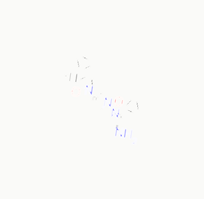 [2H]c1c(-c2ccccc2)ccn(C[C@@H]2CCN(C(=O)N3CC[C@@H](N)C[C@H]3c3ccccc3)CC2(C)C)c1=O